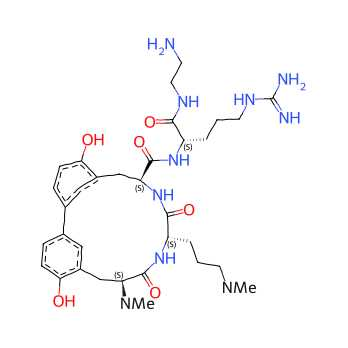 CNCCC[C@@H]1NC(=O)[C@@H](NC)Cc2cc(ccc2O)-c2ccc(O)c(c2)C[C@@H](C(=O)N[C@@H](CCCNC(=N)N)C(=O)NCCN)NC1=O